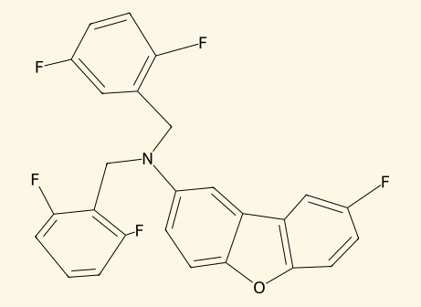 Fc1ccc(F)c(CN(Cc2c(F)cccc2F)c2ccc3oc4ccc(F)cc4c3c2)c1